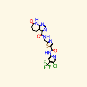 O=C1CCCc2c(ncnc2C(=O)NCc2ncc(C(=O)Nc3cc(C(F)(F)F)c(Cl)cn3)s2)N1